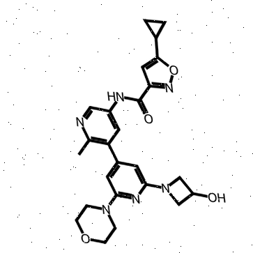 Cc1ncc(NC(=O)c2cc(C3CC3)on2)cc1-c1cc(N2CCOCC2)nc(N2CC(O)C2)c1